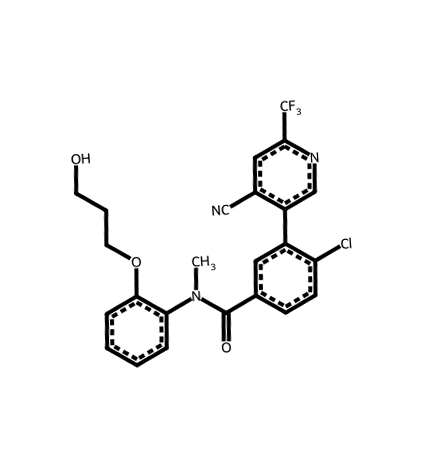 CN(C(=O)c1ccc(Cl)c(-c2cnc(C(F)(F)F)cc2C#N)c1)c1ccccc1OCCCO